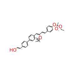 CCOC(C)(OC)Oc1ccc(C=CC(=Cc2ccc(-c3ccc(C=CO)cc3)cc2)O[Si](C)(C)C)cc1